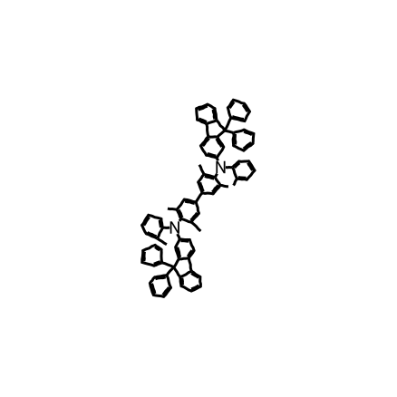 Cc1ccccc1N(c1ccc2c(c1)C(c1ccccc1)(c1ccccc1)c1ccccc1-2)c1c(C)cc(-c2cc(C)c(N(c3ccc4c(c3)C(c3ccccc3)(c3ccccc3)c3ccccc3-4)c3ccccc3C)c(C)c2)cc1C